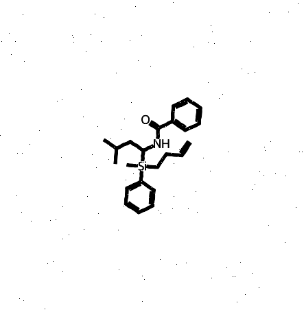 C=CCC[Si](C)(c1ccccc1)C(CC(C)C)NC(=O)c1ccccc1